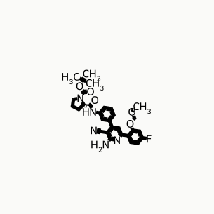 COCOc1cc(F)ccc1-c1cc(-c2cccc(NC(=O)[C@H]3CCCN3C(=O)OC(C)(C)C)c2)c(C#N)c(N)n1